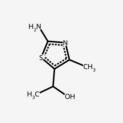 Cc1nc(N)sc1C(C)O